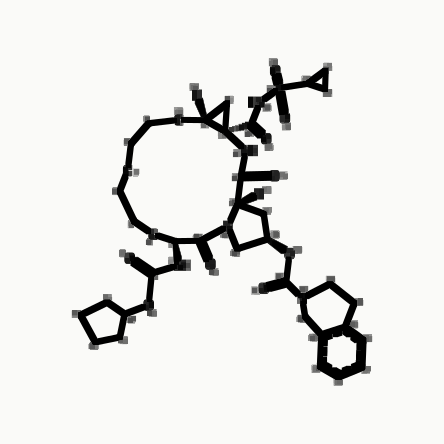 O=C(N[C@H]1CCCCCCC[C@@H]2C[C@@]2(C(=O)NS(=O)(=O)C2CC2)NC(=O)[C@@H]2C[C@@H](OC(=O)N3CCc4ccccc4C3)CN2C1=O)OC1CCCC1